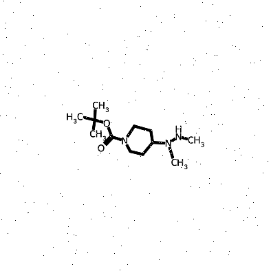 CNN(C)C1CCN(C(=O)OC(C)(C)C)CC1